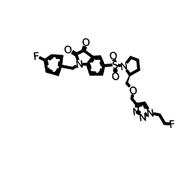 O=C1C(=O)N(Cc2ccc(F)cc2)c2ccc(S(=O)(=O)N3CCC[C@H]3COCc3cn(CCF)nn3)cc21